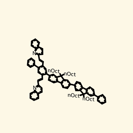 CCCCCCCCC1(CCCCCCCC)c2cc(-c3ccccc3)ccc2-c2ccc(-c3ccc4c(c3)C(CCCCCCCC)(CCCCCCCC)c3cc(-c5cc(/C=C/c6ccc7ccccc7n6)c(-c6ccccc6)cc5/C=C/c5ccc6ccccc6n5)ccc3-4)cc21